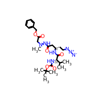 CC(C)[C@H](NC(=O)OC(C)(C)C)C(=O)N[C@@H](CCN=[N+]=[N-])CC(=O)NN(C)CC(=O)OCc1ccccc1